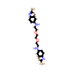 Sc1nc2ccc(NCCOCCOCCNc3ccc4nc(S)sc4c3)cc2s1